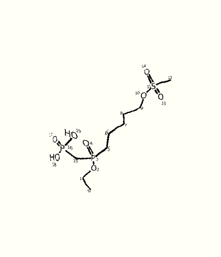 CCOP(=O)(CCCCCOS(C)(=O)=O)CP(=O)(O)O